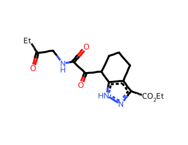 CCOC(=O)c1n[nH]c2c1CCCC2C(=O)C(=O)NCC(=O)CC